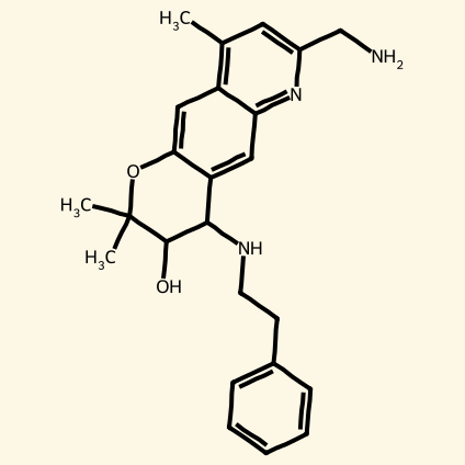 Cc1cc(CN)nc2cc3c(cc12)OC(C)(C)C(O)C3NCCc1ccccc1